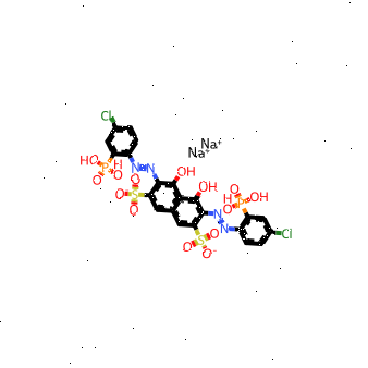 O=P(O)(O)c1cc(Cl)ccc1/N=N/c1c(S(=O)(=O)[O-])cc2cc(S(=O)(=O)[O-])c(/N=N/c3ccc(Cl)cc3P(=O)(O)O)c(O)c2c1O.[Na+].[Na+]